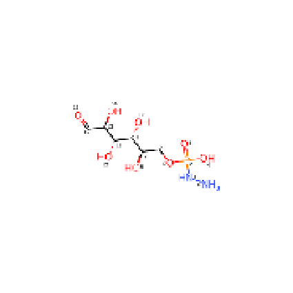 NNP(=O)(O)OC[C@@H](O)[C@@H](O)[C@H](O)[C@H](O)C=O